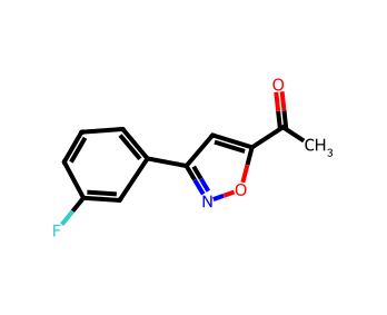 CC(=O)c1cc(-c2cccc(F)c2)no1